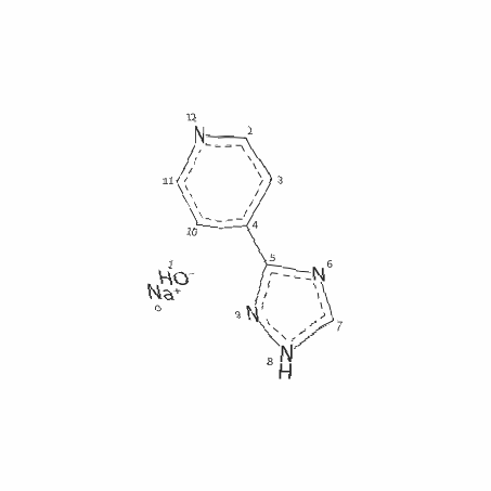 [Na+].[OH-].c1cc(-c2nc[nH]n2)ccn1